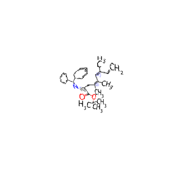 C=C/C(C)=C\C(C)=C(\C)C[C@H](N=C(c1ccccc1)c1ccccc1)C(=O)OC(C)(C)C